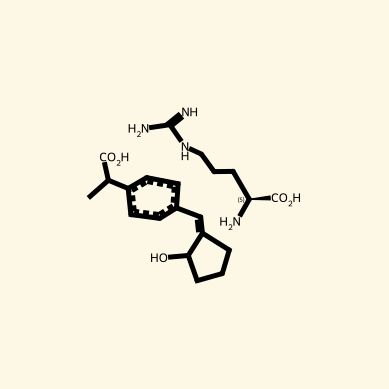 CC(C(=O)O)c1ccc(C=C2CCCC2O)cc1.N=C(N)NCCC[C@H](N)C(=O)O